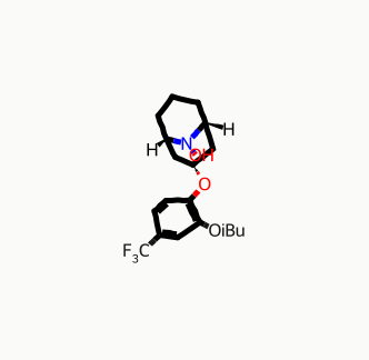 CC(C)COc1cc(C(F)(F)F)ccc1O[C@H]1C[C@H]2CCC[C@@H](C1)N2O